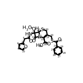 COC1(NC(=O)Cc2ccco2)C(=O)N2C(C(=O)O)=C(CSC(=O)c3ccccc3)CS[C@H]21